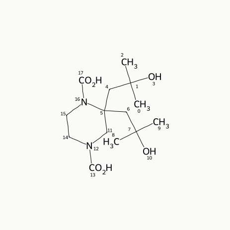 CC(C)(O)CC1(CC(C)(C)O)CN(C(=O)O)CCN1C(=O)O